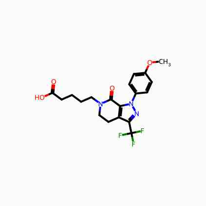 COc1ccc(-n2nc(C(F)(F)F)c3c2C(=O)N(CCCCC(=O)O)CC3)cc1